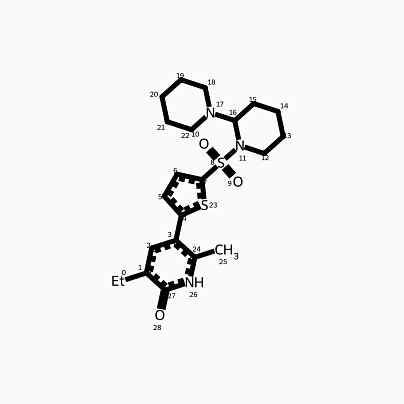 CCc1cc(-c2ccc(S(=O)(=O)N3CCCCC3N3CCCCC3)s2)c(C)[nH]c1=O